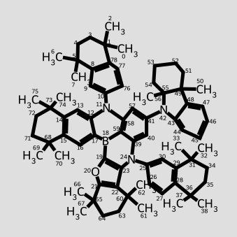 CC1(C)CCC(C)(C)c2cc(N3c4cc5c(cc4B4c6oc7c(c6N(c6ccc8c(c6)C(C)(C)CCC8(C)C)c6cc(N8c9ccccc9C9(C)CCCCC89C)cc3c64)C(C)(C)CCC7(C)C)C(C)(C)CCC5(C)C)ccc21